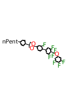 CCCCCc1ccc(C2COC(c3ccc(-c4cc(F)c(C(F)(F)Oc5cc(F)c(F)c(F)c5)c(F)c4)c(F)c3)OC2)cc1